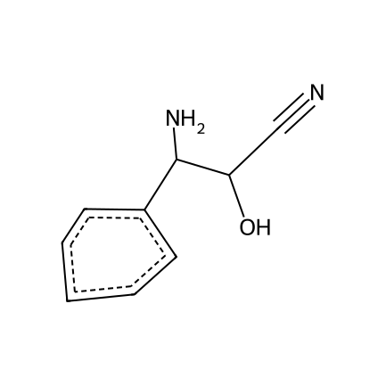 N#CC(O)C(N)c1ccccc1